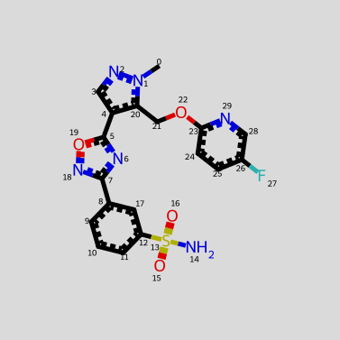 Cn1ncc(-c2nc(-c3cccc(S(N)(=O)=O)c3)no2)c1COc1ccc(F)cn1